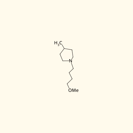 COCCCCN1CCC(C)CC1